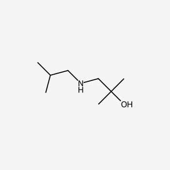 CC(C)CNCC(C)(C)O